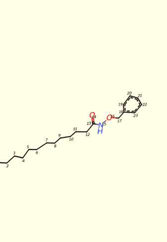 CCCCCCCCCCCCCC(=O)NOCc1ccccc1